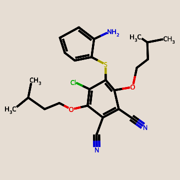 CC(C)CCOc1c(Cl)c(Sc2ccccc2N)c(OCCC(C)C)c(C#N)c1C#N